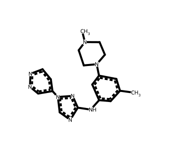 Cc1cc(Nc2ncn(-c3ccnnc3)n2)cc(N2CCN(C)CC2)c1